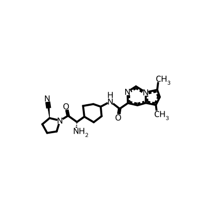 Cc1cc(C)n2cnc(C(=O)NC3CCC([C@H](N)C(=O)N4CCC[C@H]4C#N)CC3)cc12